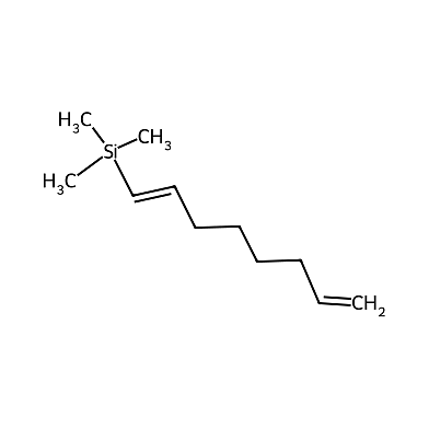 C=CCCCCC=C[Si](C)(C)C